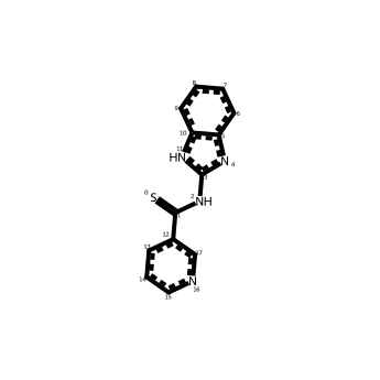 S=C(Nc1nc2ccccc2[nH]1)c1cccnc1